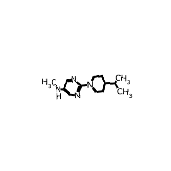 CNc1cnc(N2CCC(C(C)C)CC2)nc1